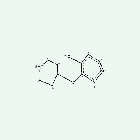 Fc1cccnc1[CH]C1CCOCC1